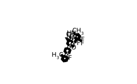 CNc1ccc(C(F)(F)F)c(CN2C(=O)N(C3CCN(c4c(C)cccc4F)CC3)Cc3cn(C)nc32)n1